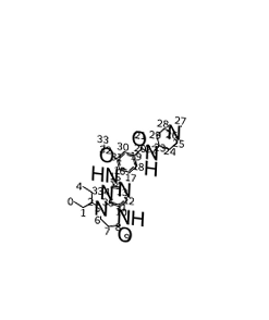 CCC(CC)N1CCC(=O)Nc2cnc(Nc3ccc(C(=O)NC4CCN(C)CC4)cc3OC)nc21